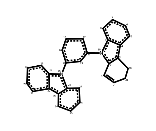 C1=Cc2c(c3ccccc3n2-c2cccc(-n3c4ccccc4c4ccccc43)c2)CC1